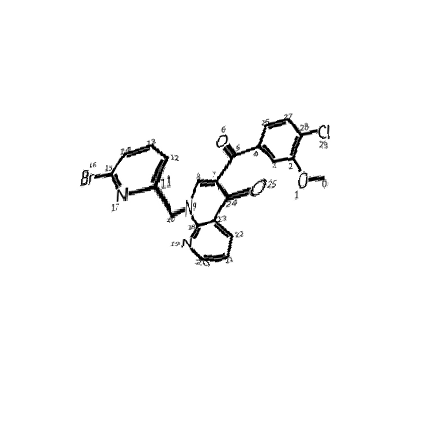 COc1cc(C(=O)c2cn(Cc3cccc(Br)n3)c3ncccc3c2=O)ccc1Cl